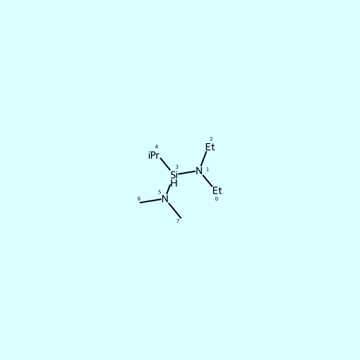 CCN(CC)[SiH](C(C)C)N(C)C